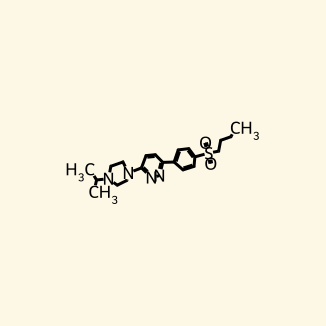 CCCCS(=O)(=O)c1ccc(-c2ccc(N3CCN(C(C)C)CC3)nn2)cc1